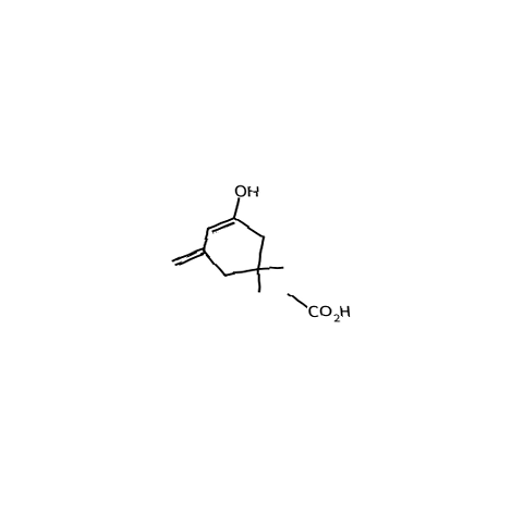 C=C1C=C(O)CC(C)(C)C1.CC(=O)O